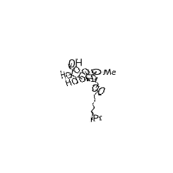 COc1cc(COC(=O)CCCC/C=C/C(C)C)ccc1OC1OC(CO)C(O)C(O)C1O